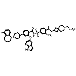 CCOC(=O)CN1CCC2(CC1)CC(CNc1ccc(S(=O)(=O)NC(=O)c3ccc(N4CCN([C@@H]5CCCCc6c(Cl)cccc65)CC4)cc3Oc3cnc4[nH]ccc4c3)cc1[N+](=O)[O-])C2